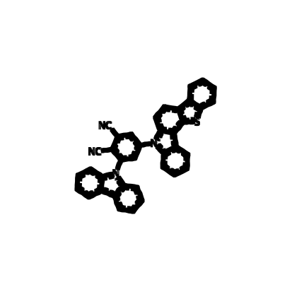 N#Cc1cc(-n2c3ccccc3c3c4sc5ccccc5c4ccc32)cc(-n2c3ccccc3c3ccccc32)c1C#N